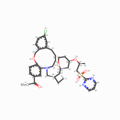 COC(=O)c1ccc2c(c1)N(C[C@@H]1CC[C@H]1[C@@H]1C[C@H](O[C@@H](C)CS(=O)(=O)c3ncccn3)CCO1)CCCCc1cc(Cl)ccc1CO2